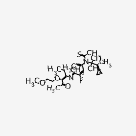 C\C=C(/C=C(F)\C(C)=N\C(CC)=C(\OCCOC)C(C)=O)N(C(C)=S)C(C)(C)C(C)=C1CC1